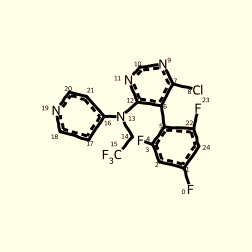 Fc1cc(F)c(-c2c(Cl)ncnc2N(CC(F)(F)F)c2ccncc2)c(F)c1